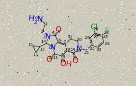 NCCN1C(=O)c2c3c(c(O)c(=O)n2C1C1CC1)C(=O)N(Cc1ccc(F)c(Cl)c1)CC3